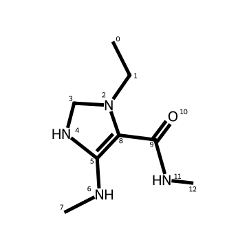 CCN1CNC(NC)=C1C(=O)NC